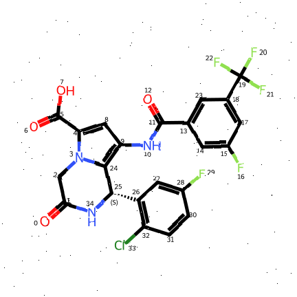 O=C1Cn2c(C(=O)O)cc(NC(=O)c3cc(F)cc(C(F)(F)F)c3)c2[C@H](c2cc(F)ccc2Cl)N1